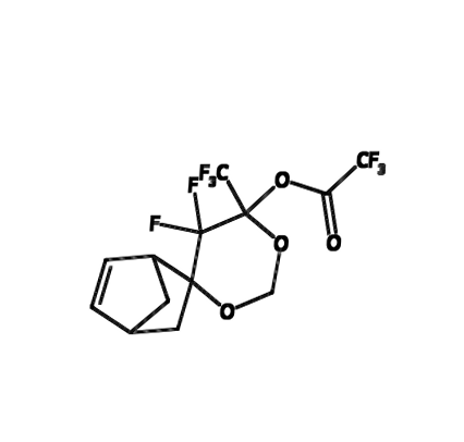 O=C(OC1(C(F)(F)F)OCOC2(CC3C=CC2C3)C1(F)F)C(F)(F)F